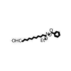 CCOC(CCCCCCCCCC[C]=O)=NOC(=O)c1ccccc1